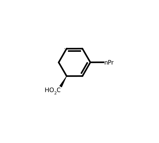 CCCC1=C[C@@H](C(=O)O)C[C]=C1